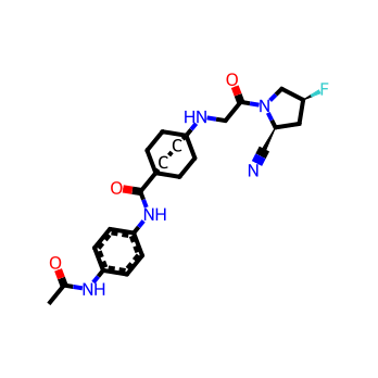 CC(=O)Nc1ccc(NC(=O)C23CCC(NCC(=O)N4C[C@@H](F)C[C@H]4C#N)(CC2)CC3)cc1